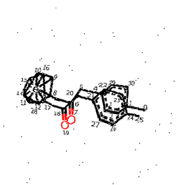 Cc1ccc(CC(=O)[C]23[CH]4[CH]5[CH]6[CH]2[Fe]56432789[CH]3[CH]2[CH]7[C]8(C(=O)Cc2ccc(C)cc2)[CH]39)cc1